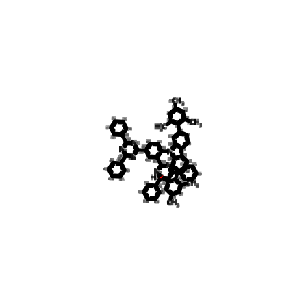 Cc1cc(C)c(-c2ccc3c4ccc(-c5c(C)cc(C)cc5C)cc4n(-c4ccc(-c5nc(-c6ccccc6)nc(-c6ccccc6)n5)cc4-c4nc(-c5ccccc5)cc(-c5ccccc5)n4)c3c2)c(C)c1